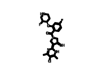 CC1=N/C(=C2\CN(C(=O)c3ccc(F)cc3O[C@H]3CCNCC3F)CC2=N)NC(C)=C1Cl